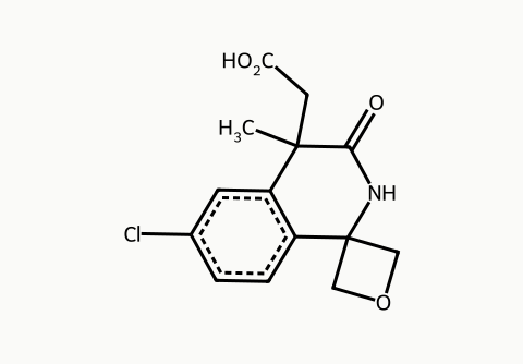 CC1(CC(=O)O)C(=O)NC2(COC2)c2ccc(Cl)cc21